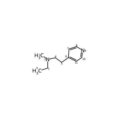 CCN(C)CCc1ccncc1